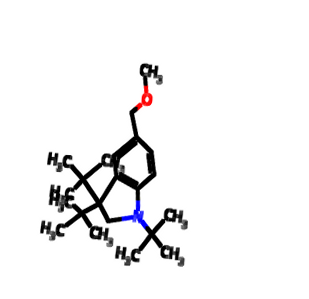 COCc1ccc2c(c1)C(C(C)(C)C)(C(C)(C)C)CN2C(C)(C)C